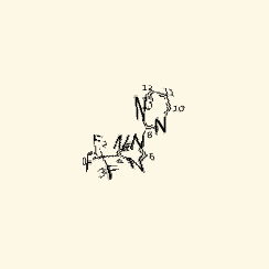 FC(F)(F)c1ncn(-c2ncccn2)n1